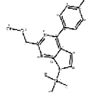 CCOCc1nc(-c2ccc(C)cc2)c2ccn([Si](C)(C)C)c2n1